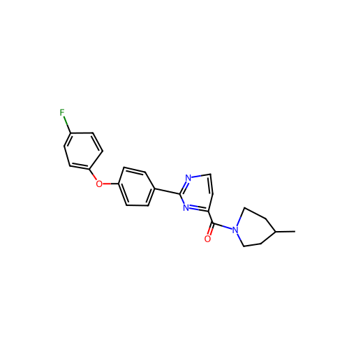 CC1CCN(C(=O)c2ccnc(-c3ccc(Oc4ccc(F)cc4)cc3)n2)CC1